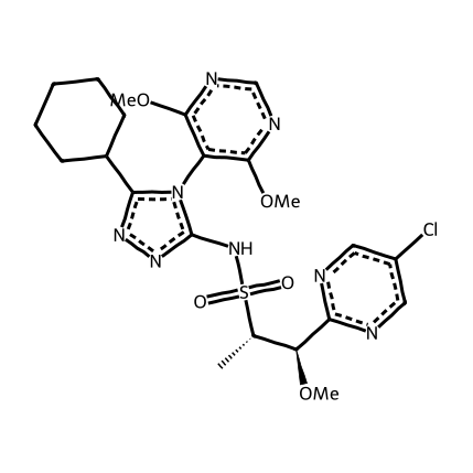 COc1ncnc(OC)c1-n1c(NS(=O)(=O)[C@@H](C)[C@H](OC)c2ncc(Cl)cn2)nnc1C1CCCCC1